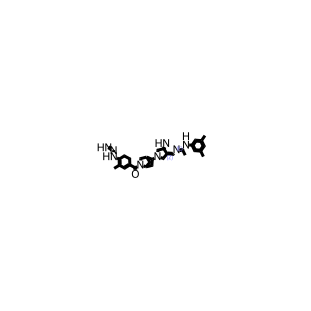 CC1=C(NN=N)CCC(C(=O)N2CC3CC2CC3N2CC(=N)/C(=C\N=C(/C)Nc3cc(C)cc(C)c3)C2)=C1